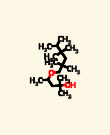 CC(CC(C)(C)O)OCC(C)(C)CC(C)(C)C(C)C